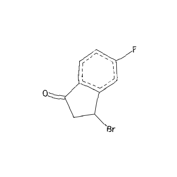 O=C1CC(Br)c2cc(F)ccc21